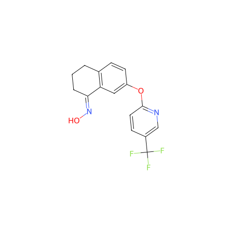 ON=C1CCCc2ccc(Oc3ccc(C(F)(F)F)cn3)cc21